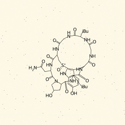 CCC(C)C1NC(=O)CNC(=O)C2Cc3c([nH]c4cc(O)ccc34)[S+]([O-])CC(NC(=O)CNC1=O)C(=O)NC(CC(N)=O)C(=O)N1CC(O)CC1C(=O)NC(C(C)CC)C(=O)N2